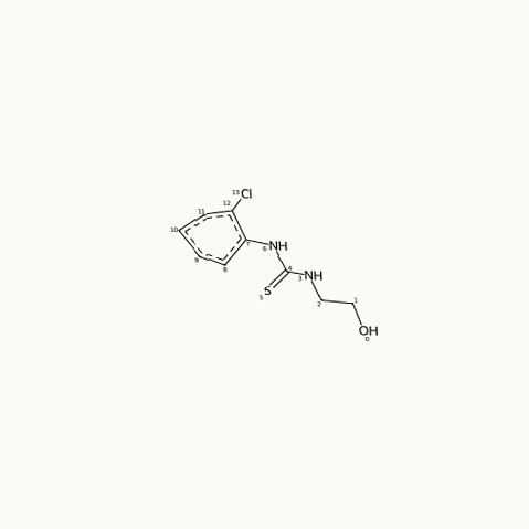 OCCNC(=S)Nc1ccccc1Cl